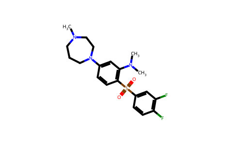 CN1CCCN(c2ccc(S(=O)(=O)c3ccc(F)c(F)c3)c(N(C)C)c2)CC1